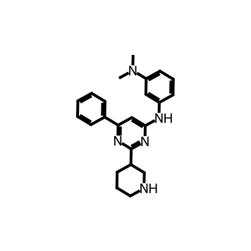 CN(C)c1cccc(Nc2cc(-c3ccccc3)nc(C3CCCNC3)n2)c1